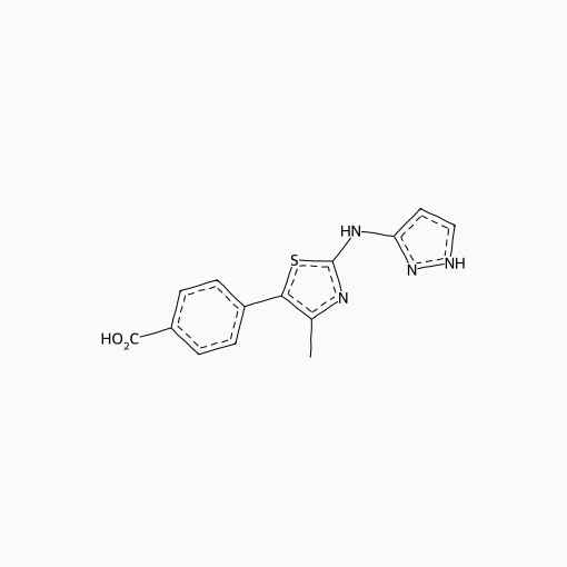 Cc1nc(Nc2cc[nH]n2)sc1-c1ccc(C(=O)O)cc1